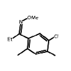 CC/C(=N/OC)c1cc(Cl)c(C)cc1C